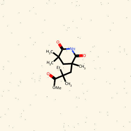 CCC(C)(CC1(C)CC(C)(C)C(=O)NC1=O)C(=O)OC